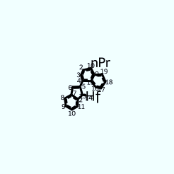 CCCc1ccc(C2=Cc3ccccc3[CH]2[Hf])c2ccccc12